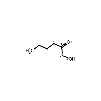 CCCCC(=O)SO